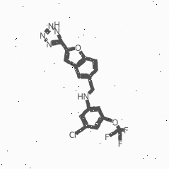 FC(F)(F)Oc1cc(Cl)cc(NCc2ccc3oc(-c4nnn[nH]4)cc3c2)c1